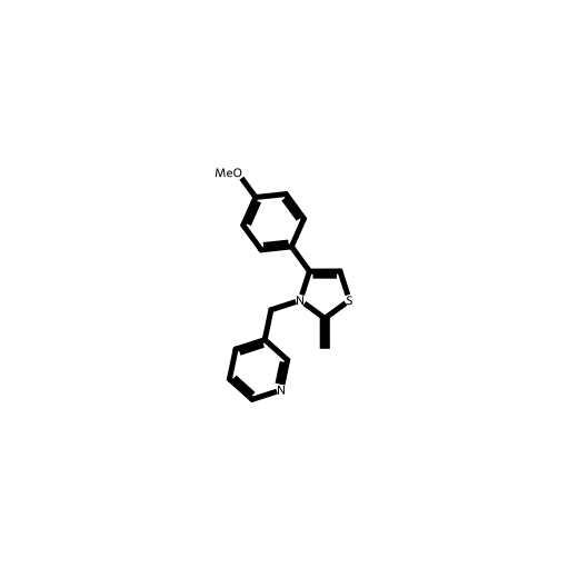 C=C1SC=C(c2ccc(OC)cc2)N1Cc1cccnc1